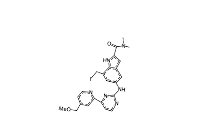 COCc1ccnc(-c2ccnc(Nc3cc(CI)c4[nH]c(C(=O)N(C)C)cc4c3)n2)c1